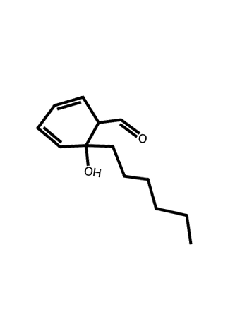 CCCCCCC1(O)C=CC=CC1C=O